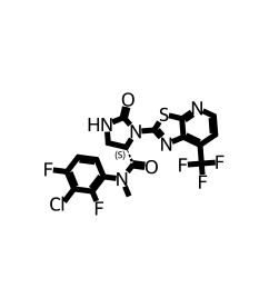 CN(C(=O)[C@@H]1CNC(=O)N1c1nc2c(C(F)(F)F)ccnc2s1)c1ccc(F)c(Cl)c1F